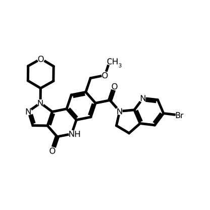 COCc1cc2c(cc1C(=O)N1CCc3cc(Br)cnc31)[nH]c(=O)c1cnn(C3CCOCC3)c12